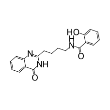 O=C(NCCCCc1nc2ccccc2c(=O)[nH]1)c1ccccc1O